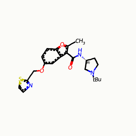 Cc1oc2ccc(OCc3nccs3)cc2c1C(=O)N[C@@H]1CCN(C(C)(C)C)C1